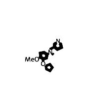 COc1ccc(N(C)Cc2cccnc2)cc1OC1CCCC1